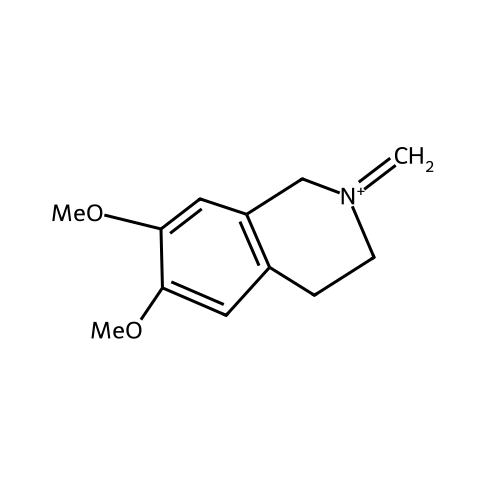 C=[N+]1CCc2cc(OC)c(OC)cc2C1